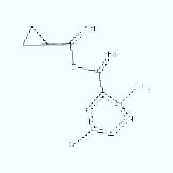 N=C(OC(=N)C1CC1)c1cc(Br)cnc1N